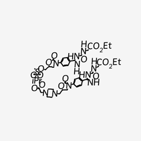 CCOC(=O)CNC(=O)NC(=N)c1ccc(N2CC(CN3CCN(CC(=O)OC(C)C)CC3)OC2=O)cc1.CCOC(=O)CNC(=O)NC(=N)c1ccc(N2CC(COS(C)(=O)=O)OC2=O)cc1